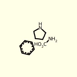 C1CCNC1.NC(=O)O.c1ccccc1